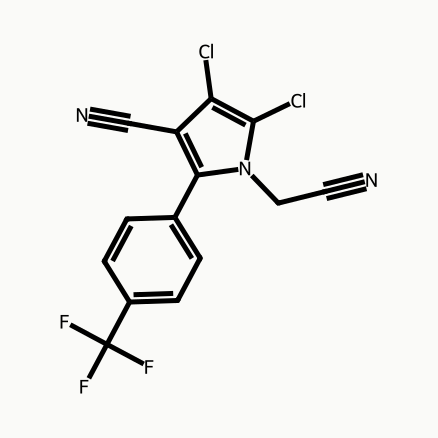 N#CCn1c(Cl)c(Cl)c(C#N)c1-c1ccc(C(F)(F)F)cc1